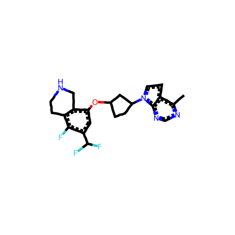 Cc1ncnc2c1ccn2C1CCC(Oc2cc(C(F)F)c(F)c3c2CNCC3)C1